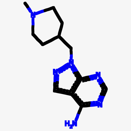 CN1CCC(Cn2ncc3c(N)ncnc32)CC1